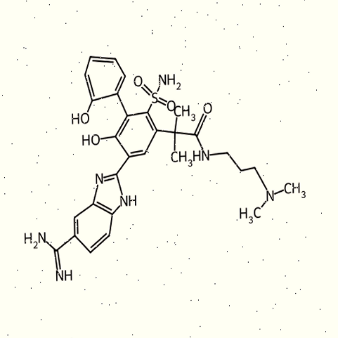 CN(C)CCCNC(=O)C(C)(C)c1cc(-c2nc3cc(C(=N)N)ccc3[nH]2)c(O)c(-c2ccccc2O)c1S(N)(=O)=O